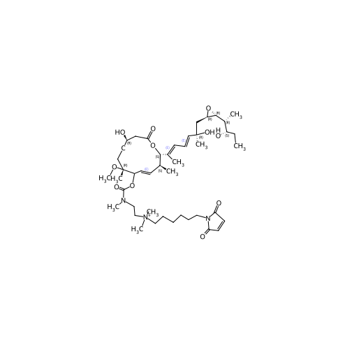 CC[C@H](O)[C@@H](C)[C@H]1O[C@@H]1C[C@@](C)(O)/C=C/C=C(\C)[C@H]1OC(=O)C[C@H](O)CC[C@@](C)(OC)C(OC(=O)N(C)CC[N+](C)(C)CCCCCCN2C(=O)C=CC2=O)/C=C/[C@@H]1C